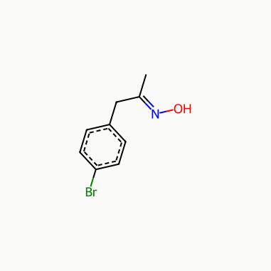 CC(Cc1ccc(Br)cc1)=NO